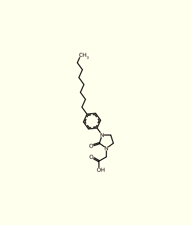 CCCCCCCCc1ccc(N2CCN(CC(=O)O)C2=O)cc1